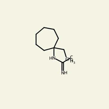 CCC1(NC(C)=N)CCCCCC1